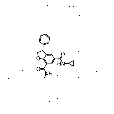 CNC(=O)c1cc(C(=O)N[C@H]2C[C@@H]2C)cc2c1OC[C@@H]2c1ccccc1